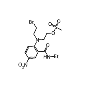 CCNC(=O)c1cc([N+](=O)[O-])ccc1N(CCBr)CCOS(C)(=O)=O